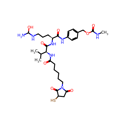 CNC(=O)OCc1ccc(NC(=O)[C@H](CCCNC(N)O)NC(=O)[C@@H](NC(=O)CCCCCN2C(=O)CC(S)C2=O)C(C)C)cc1